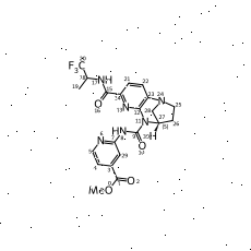 COC(=O)c1ccnc(NC(=O)N2c3nc(C(=O)NC(C)C(F)(F)F)ccc3N3CC[C@H]2C3)c1